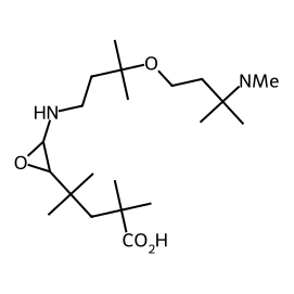 CNC(C)(C)CCOC(C)(C)CCNC1OC1C(C)(C)CC(C)(C)C(=O)O